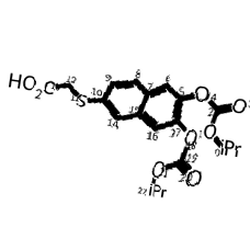 CC(C)OC(=O)Oc1cc2ccc(SCC(=O)O)cc2cc1OC(=O)OC(C)C